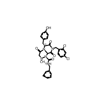 CN1CC(=O)N2C(C(=O)N(Cc3ccc(Cl)cc3Cl)C(=O)[C@@H]2Cc2ccc(O)cc2)N1C(=O)NCc1ccccc1